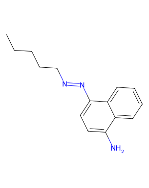 CCCCCN=Nc1ccc(N)c2ccccc12